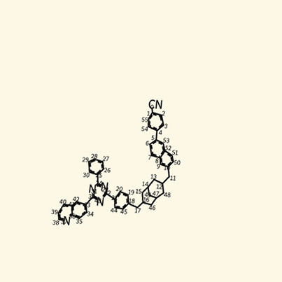 N#Cc1ccc(-c2ccc3cc(CC4CC5CC(Cc6ccc(-c7nc(-c8ccccc8)nc(-c8ccc9ncccc9c8)n7)cc6)CC(C4)C5)ccc3c2)cc1